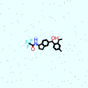 CCc1cc(C)ccc1C(O)c1ccc2c(c1)CCC2NC(=O)C(F)(F)F